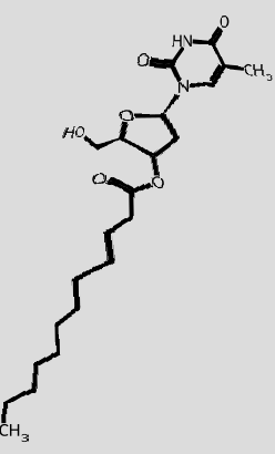 CCCCCCCCCCCC(=O)OC1C[C@H](n2cc(C)c(=O)[nH]c2=O)O[C@@H]1CO